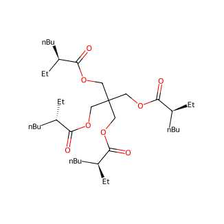 CCCC[C@H](CC)C(=O)OCC(COC(=O)[C@@H](CC)CCCC)(COC(=O)[C@@H](CC)CCCC)COC(=O)[C@@H](CC)CCCC